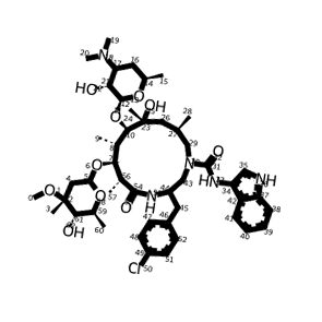 CO[C@]1(C)CC(O[C@H]2[C@H](C)[C@@H](O[C@@H]3O[C@H](C)CC(N(C)C)[C@H]3O)[C@](C)(O)C[C@@H](C)CN(C(=O)Nc3c[nH]c4ccccc34)CC(Cc3ccc(Cl)cc3)NC(=O)[C@@H]2C)O[C@@H](C)[C@@H]1O